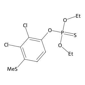 CCOP(=S)(OCC)Oc1ccc(SC)c(Cl)c1Cl